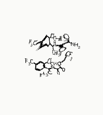 CC(c1ccc(C(F)(F)F)cc1Cl)N(C)C(=O)C(=O)OCC(F)(F)F.CC(c1ccc(C(F)(F)F)cc1Cl)N(C)C(=O)C(N)=O